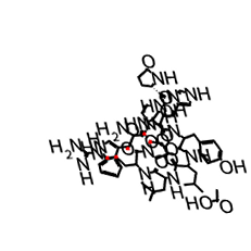 CC(=O)O.CCN(C(=O)C(Cc1c[nH]cn1)NC(=O)[C@@H]1CCC(=O)N1)C(=O)[C@@H]1CCCN1C(=O)C(CCCNC(=N)N)NC(=O)C(CC(C)C)NC(=O)C(CC(C)C)NC(=O)C(Cc1ccc(O)cc1)NC(=O)C(CO)NC(=O)C(N)Cc1c[nH]c2ccccc12